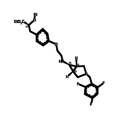 CCOC(=O)[C@H](Cc1ccc(OCCN[C@H]2[C@@H]3CN(Cc4c(F)cc(F)cc4F)C[C@@H]32)cc1)OCC